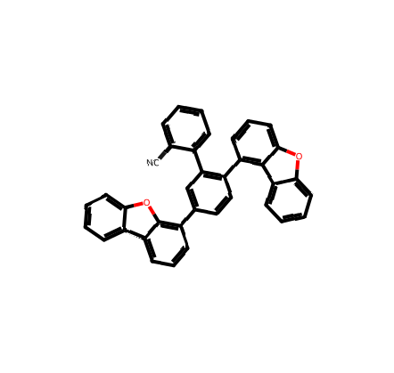 N#Cc1ccccc1-c1cc(-c2cccc3c2oc2ccccc23)ccc1-c1cccc2oc3ccccc3c12